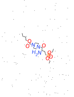 CCCCOC(=O)N1CCN(C(=O)[C@H](N)CCP(=O)(OCC)OCC)CC1